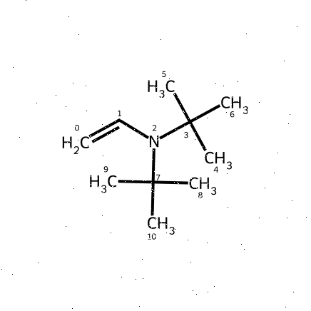 C=CN(C(C)(C)C)C(C)(C)C